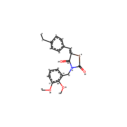 CCc1ccc(C=C2SC(=O)N(Cc3cccc(OC)c3OC)C2=O)cc1